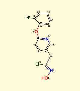 O/N=C(\Cl)Cc1ccc(Oc2ccccc2F)nc1